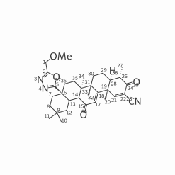 COCc1nnc([C@]23CCC(C)(C)CC2C2C(=O)C=C4[C@@]5(C)C=C(C#N)C(=O)[C@@H](C)[C@@H]5CC[C@@]4(C)[C@]2(C)CC3)o1